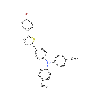 COc1ccc(N(c2ccc(OC)cc2)c2ccc(-c3ccc(-c4ccc(Br)cc4)s3)cc2)cc1